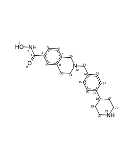 O=C(NO)c1ccc2c(c1)CCN(Cc1ccc(C3CCNCC3)cc1)C2